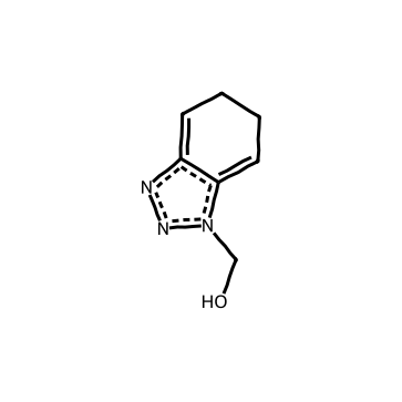 OCn1nnc2c1=CCCC=2